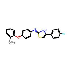 COc1ccccc1Oc1ccc(N=c2[nH]c(-c3ccc(F)cc3)cs2)cc1